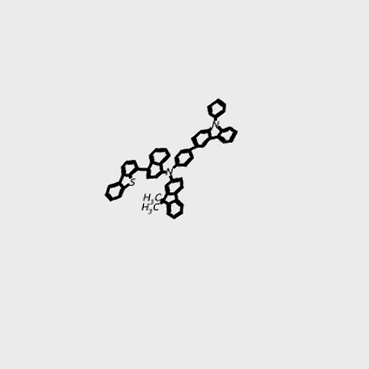 CC1(C)c2ccccc2-c2ccc(N(c3ccc(-c4ccc5c(c4)c4ccccc4n5-c4ccccc4)cc3)c3ccc(-c4cccc5c4sc4ccccc45)c4ccccc34)cc21